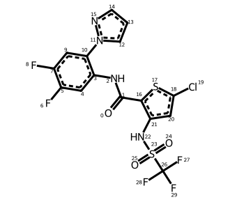 O=C(Nc1cc(F)c(F)cc1-n1cccn1)c1sc(Cl)cc1NS(=O)(=O)C(F)(F)F